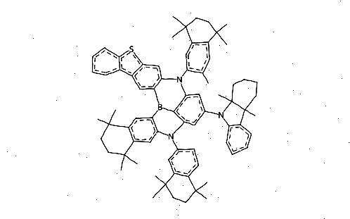 Cc1cc2c(cc1N1c3cc4sc5ccccc5c4cc3B3c4cc5c(cc4N(c4ccc6c(c4)C(C)(C)CCC6(C)C)c4cc(N6c7ccccc7C7(C)CCCCC67C)cc1c43)C(C)(C)CCC5(C)C)C(C)(C)CCC2(C)C